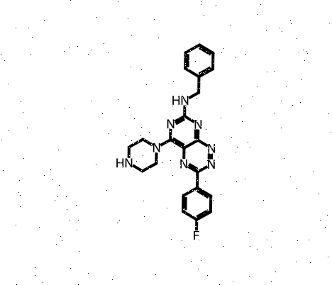 Fc1ccc(-c2nnc3nc(NCc4ccccc4)nc(N4CCNCC4)c3n2)cc1